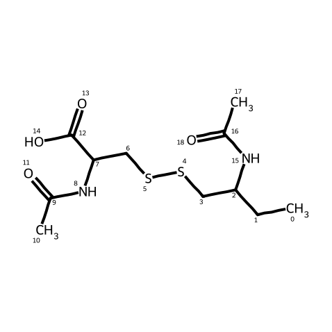 CCC(CSSCC(NC(C)=O)C(=O)O)NC(C)=O